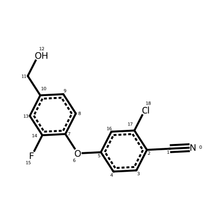 N#Cc1ccc(Oc2ccc(CO)cc2F)cc1Cl